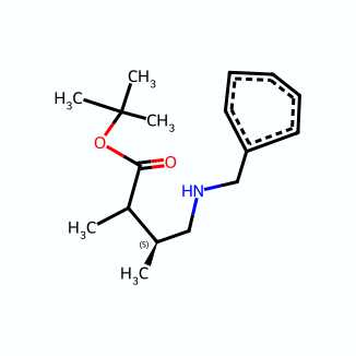 CC(C(=O)OC(C)(C)C)[C@H](C)CNCc1ccccc1